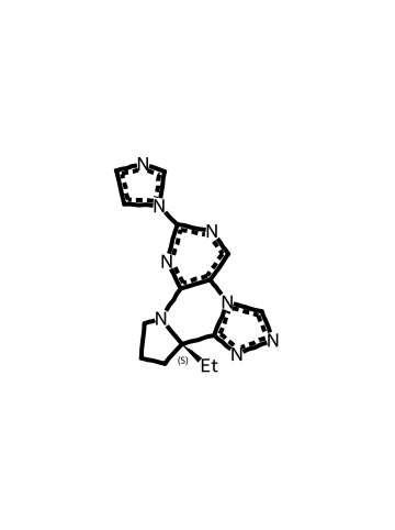 CC[C@@]12CCCN1c1nc(-n3ccnc3)ncc1-n1cnnc12